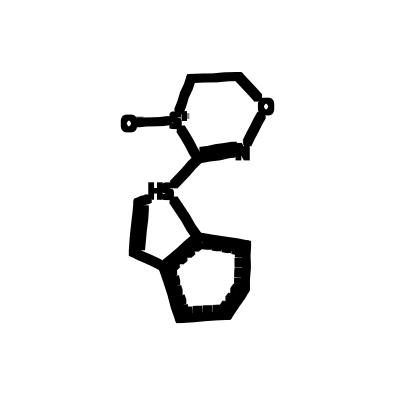 [O-][S+]1CCON=C1[SH]1C=Cc2ccccc21